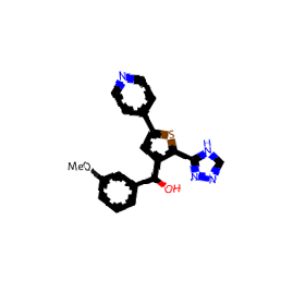 COc1cccc(C(O)c2cc(-c3ccncc3)sc2-c2nnc[nH]2)c1